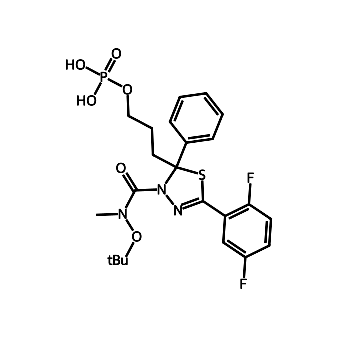 CN(OC(C)(C)C)C(=O)N1N=C(c2cc(F)ccc2F)SC1(CCCOP(=O)(O)O)c1ccccc1